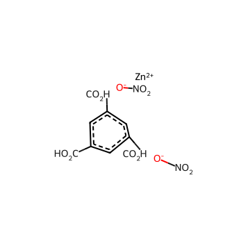 O=C(O)c1cc(C(=O)O)cc(C(=O)O)c1.O=[N+]([O-])[O-].O=[N+]([O-])[O-].[Zn+2]